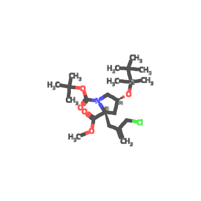 C=C(CCl)C[C@]1(C(=O)OC)C[C@@H](O[Si](C)(C)C(C)(C)C)CN1C(=O)OC(C)(C)C